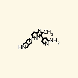 Cc1nc2ccc(N3CC4CNCC4C3)nn2c1-c1ccnc(N)c1